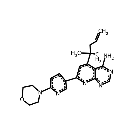 C=CCC(C)(C)c1cc(-c2ccc(N3CCOCC3)nc2)nc2ncnc(N)c12